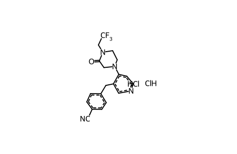 Cl.Cl.N#Cc1ccc(Cc2cnccc2N2CCN(CC(F)(F)F)C(=O)C2)cc1